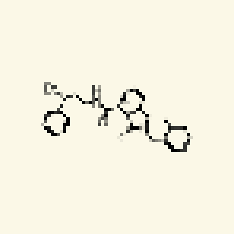 CCN(CCNC(=O)C1C2C=CC3(CN(Cc4ccccc4C)C(=O)C13)O2)c1ccccc1